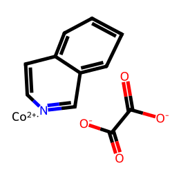 O=C([O-])C(=O)[O-].[Co+2].c1ccc2cnccc2c1